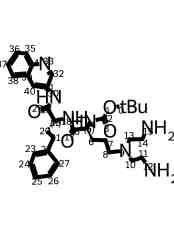 CC(C)(C)OC(=O)N[C@@H](CCCN(CCN)CCN)C(=O)N[C@H](CCc1ccccc1)C(=O)Nc1cnc2ccccc2c1